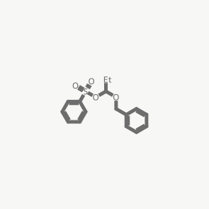 CCC(OCc1ccccc1)OS(=O)(=O)c1ccccc1